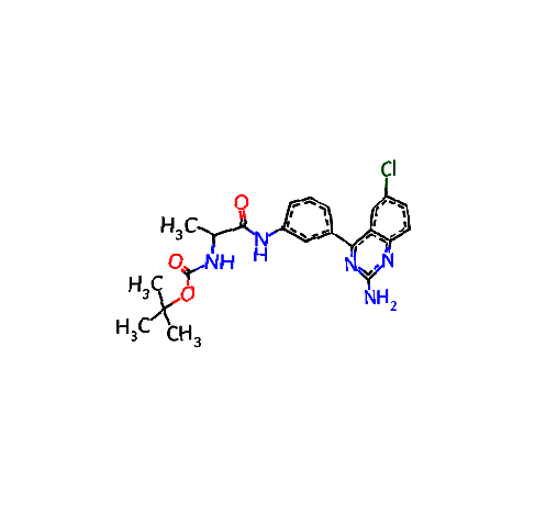 CC(NC(=O)OC(C)(C)C)C(=O)Nc1cccc(-c2nc(N)nc3ccc(Cl)cc23)c1